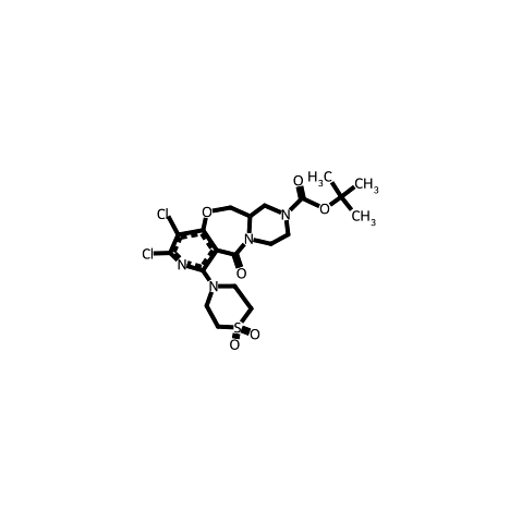 CC(C)(C)OC(=O)N1CCN2C(=O)c3c(N4CCS(=O)(=O)CC4)nc(Cl)c(Cl)c3OCC2C1